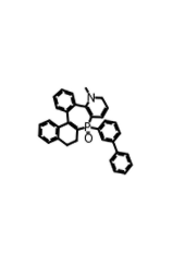 CN1CC=CC2=C1c1ccccc1C1=C(CCc3ccccc31)P2(=O)c1cccc(-c2ccccc2)c1